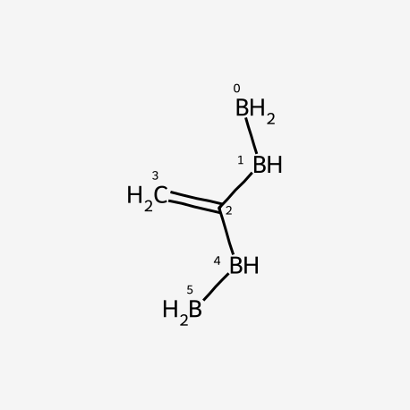 BBC(=C)BB